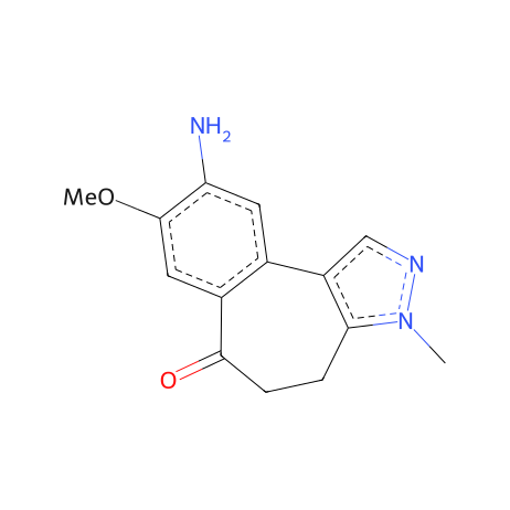 COc1cc2c(cc1N)-c1cnn(C)c1CCC2=O